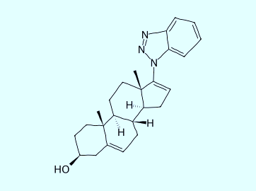 C[C@]12CC[C@H](O)CC1=CC[C@@H]1[C@@H]2CC[C@]2(C)C(n3nnc4ccccc43)=CC[C@@H]12